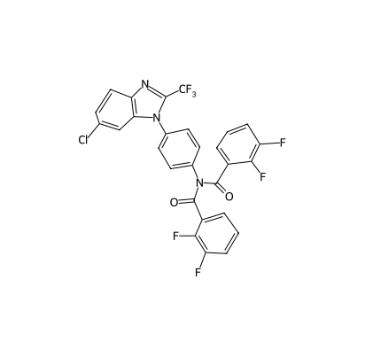 O=C(c1cccc(F)c1F)N(C(=O)c1cccc(F)c1F)c1ccc(-n2c(C(F)(F)F)nc3ccc(Cl)cc32)cc1